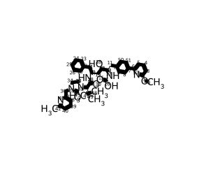 COc1cccc(-c2ccc(C[C@H](NC(=O)O)[C@H](O)C[C@H](Cc3ccccc3)NC(=O)[C@@H](N3CCN(Cc4cccc(C)n4)C3=O)C(C)(C)C)cc2)n1